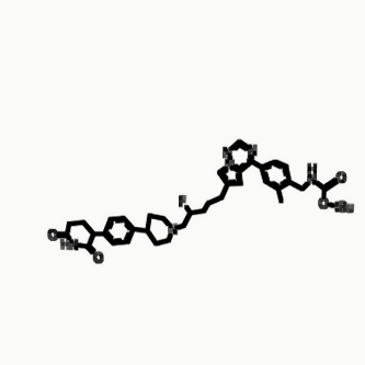 Cc1cc(-c2ncnn3cc(CCCC(F)CN4CCC(c5ccc(C6CCC(=O)NC6=O)cc5)CC4)cc23)ccc1CNC(=O)OC(C)(C)C